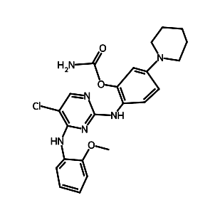 COc1ccccc1Nc1nc(Nc2ccc(N3CCCCC3)cc2OC(N)=O)ncc1Cl